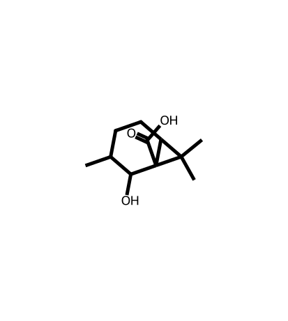 CC1CCC2C(C)(C)C2(C(=O)O)C1O